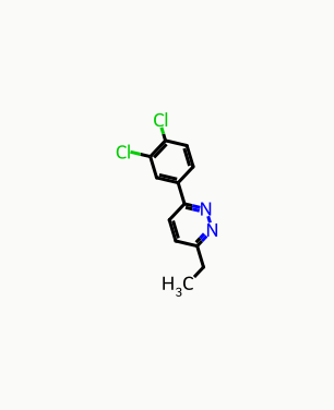 CCc1ccc(-c2ccc(Cl)c(Cl)c2)nn1